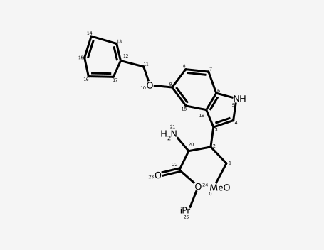 COCC(c1c[nH]c2ccc(OCc3ccccc3)cc12)C(N)C(=O)OC(C)C